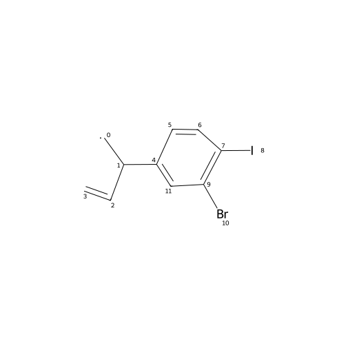 [CH2]C(C=C)c1ccc(I)c(Br)c1